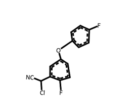 N#CC(Cl)c1cc(Oc2ccc(F)cc2)ccc1F